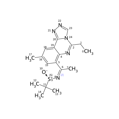 CCc1nc2c(/C(C)=N\[S@+]([O-])C(C)(C)C)cc(C)cc2c2nncn12